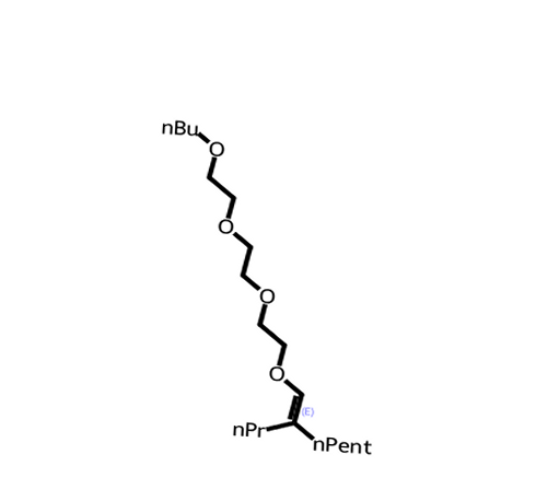 CCCCC/C(=C/OCCOCCOCCOCCCC)CCC